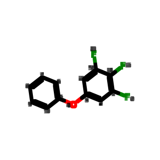 Fc1cc(Oc2cc[c]cc2)cc(F)c1F